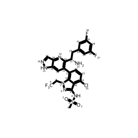 CS(=O)(=O)Nc1nn(CC(F)(F)F)c2c(-c3cc4[nH]ncc4nc3[C@@H](N)Cc3cc(F)cc(F)c3)ccc(Cl)c12